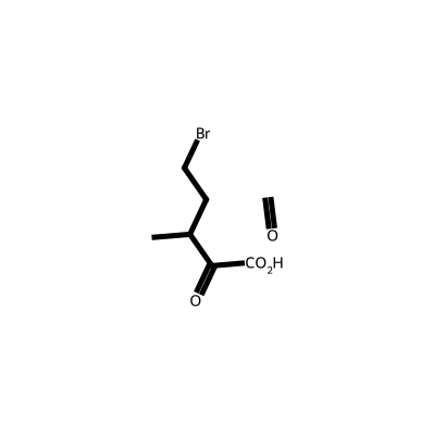 C=O.CC(CCBr)C(=O)C(=O)O